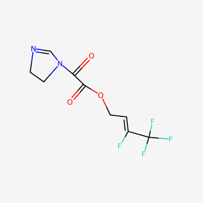 O=C(OC/C=C(\F)C(F)(F)F)C(=O)N1C=NCC1